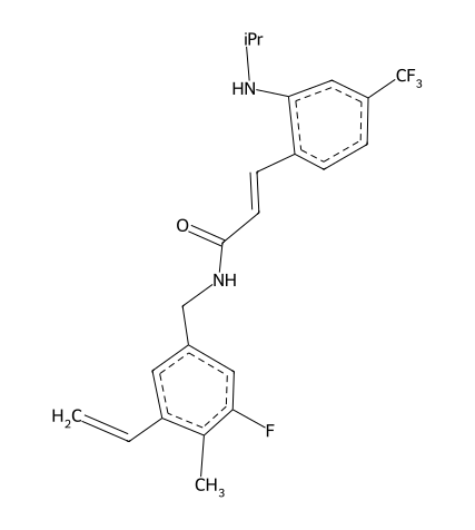 C=Cc1cc(CNC(=O)/C=C/c2ccc(C(F)(F)F)cc2NC(C)C)cc(F)c1C